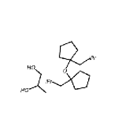 CC(C)CC1(OC2(CC(C)C)CCCC2)CCCC1.CC(O)CO